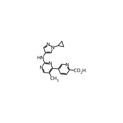 Cc1cnc(Nc2cnn(C3CC3)c2)nc1-c1ccc(C(=O)O)nc1